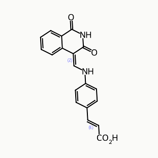 O=C(O)/C=C/c1ccc(N/C=C2\C(=O)NC(=O)c3ccccc32)cc1